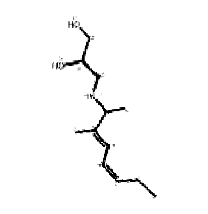 CC/C=C\C=C(/C)C(C)NCC(O)CO